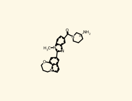 Cn1c(-c2cc3c4c(ccn4CCCO3)c2)nc2cc(C(=O)N3CCC[C@@H](N)C3)ccc21